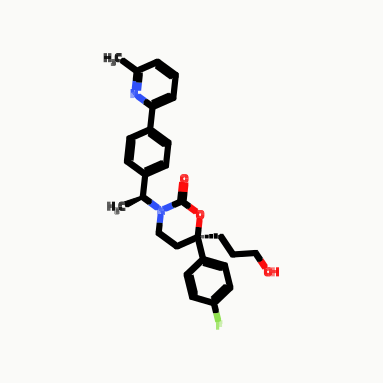 Cc1cccc(-c2ccc([C@H](C)N3CC[C@](CCCO)(c4ccc(F)cc4)OC3=O)cc2)n1